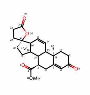 COC(=O)[C@@H]1CC2=CC(=O)CC[C@]2(C)C2C=C[C@@]3(C)C(CC[C@@]34CCC(=O)O4)C21